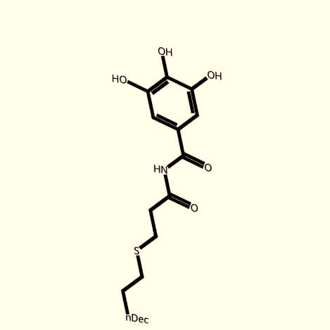 CCCCCCCCCCCCSCCC(=O)NC(=O)c1cc(O)c(O)c(O)c1